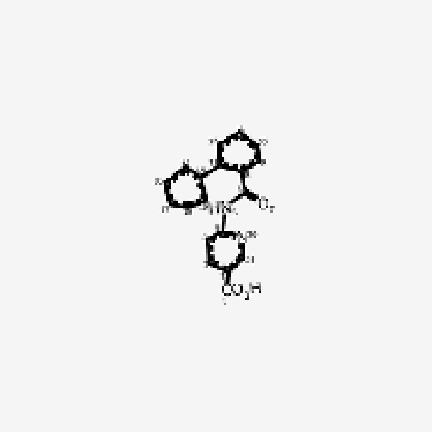 O=C(O)c1ccc(NC(=O)c2ccccc2-c2ccccc2)nc1